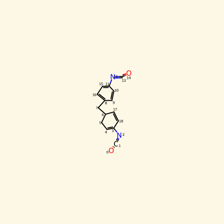 O=C=NC1=CCC(Cc2ccc(N=C=O)cc2)C=C1